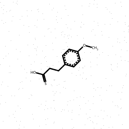 COc1ccc(CCC(O)=S)cc1